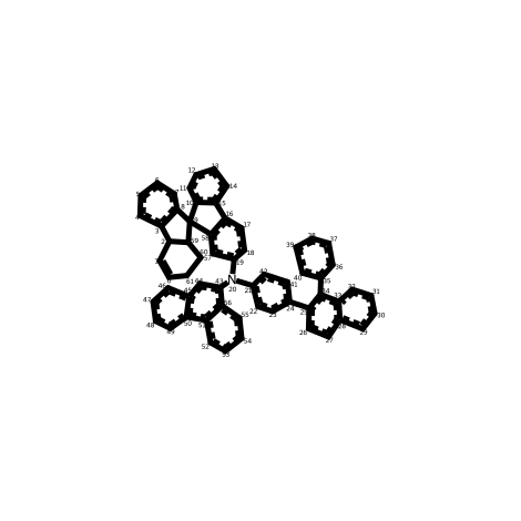 C1=CC2c3ccccc3C3(c4ccccc4-c4ccc(N(c5ccc(-c6ccc7ccccc7c6-c6ccccc6)cc5)c5cc6ccccc6c6ccccc56)cc43)C2CC1